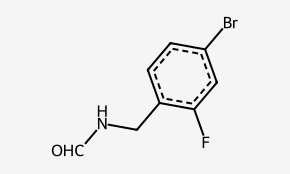 O=CNCc1ccc(Br)cc1F